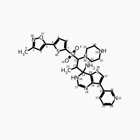 Cc1cc(-c2ccc(S(=O)(=O)C(C(C)C3(N)NC=Nc4c(-c5cccnc5)csc43)N3CCNCC3)s2)on1